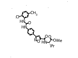 COC(=O)[C@@H](NC(=O)c1cc(-c2ccc(NC(=O)Nc3cc(C)ccc3Cl)cc2)no1)C(C)C